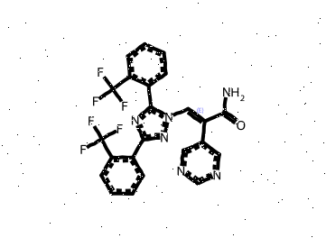 NC(=O)/C(=C/n1nc(-c2ccccc2C(F)(F)F)nc1-c1ccccc1C(F)(F)F)c1cncnc1